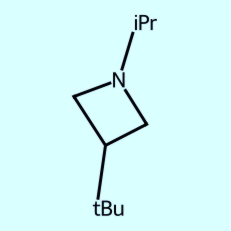 CC(C)N1CC(C(C)(C)C)C1